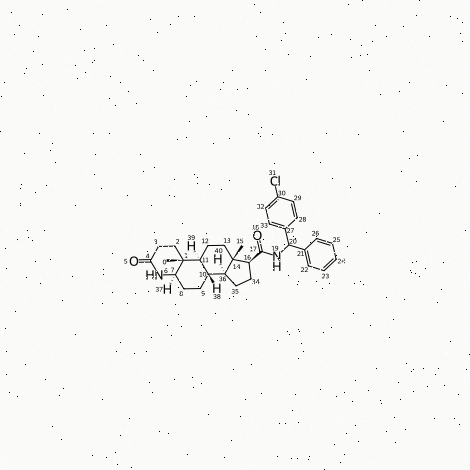 C[C@]12CCC(=O)N[C@@H]1CC[C@@H]1[C@@H]2CC[C@]2(C)[C@@H](C(=O)NC(c3ccccc3)c3ccc(Cl)cc3)CC[C@@H]12